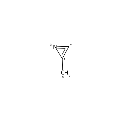 CC1=C=N1